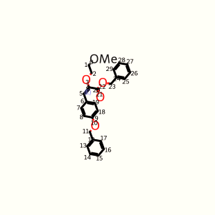 COCCO/C(=C/c1ccc(OCc2ccccc2)cc1)C(=O)OCc1ccccc1